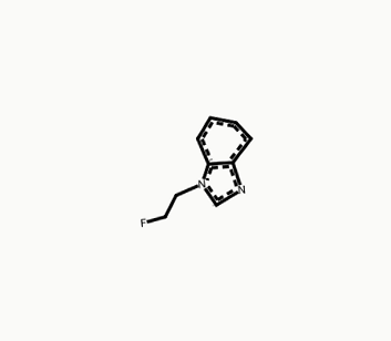 FCCn1[c]nc2ccccc21